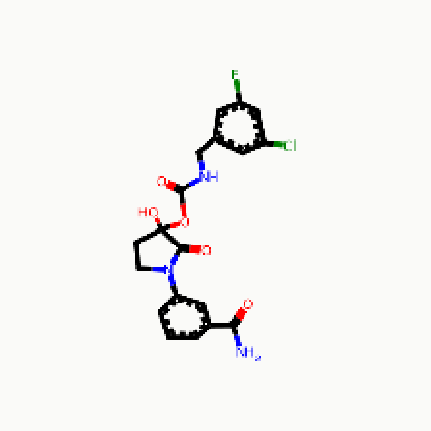 NC(=O)c1cccc(N2CCC(O)(OC(=O)NCc3cc(F)cc(Cl)c3)C2=O)c1